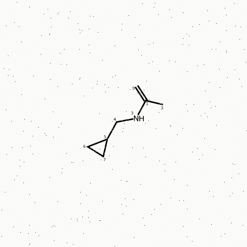 C=C(C)NCC1CC1